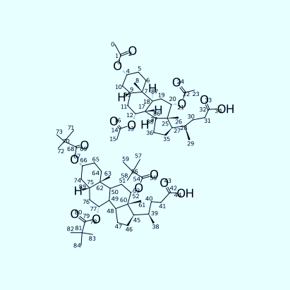 CC(=O)O[C@@H]1CC[C@@]2(C)[C@@H](C1)C[C@@H](OC(C)=O)[C@@H]1[C@@H]2C[C@H](OC(C)=O)[C@]2(C)[C@@H]([C@H](C)CCC(=O)O)CC[C@@H]12.C[C@H](CCC(=O)O)[C@H]1CCC2C3C(C[C@H](OC(=O)C(C)(C)C)[C@@]21C)[C@@]1(C)CC[C@@H](OC(=O)C(C)(C)C)C[C@H]1C[C@H]3OC(=O)C(C)(C)C